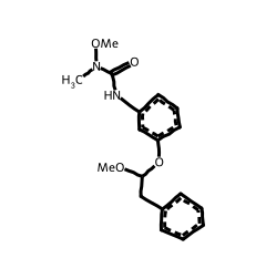 COC(Cc1ccccc1)Oc1cccc(NC(=O)N(C)OC)c1